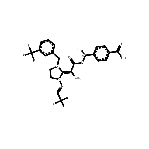 C/C(C(=O)N[C@@H](C)c1ccc(C(=O)O)cc1)=C1/N(Cc2cccc(C(F)(F)F)c2)CCN1/N=C/C(F)(F)F